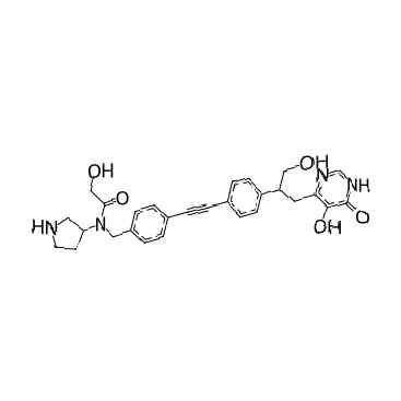 O=C(CO)N(Cc1ccc(C#Cc2ccc(C(CO)Cc3nc[nH]c(=O)c3O)cc2)cc1)C1CCNC1